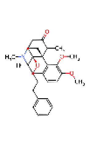 COc1ccc2c(c1OC)[C@]13CCN(C)[C@H](C2)[C@]1(OCCCc1ccccc1)CCC(=O)C3C